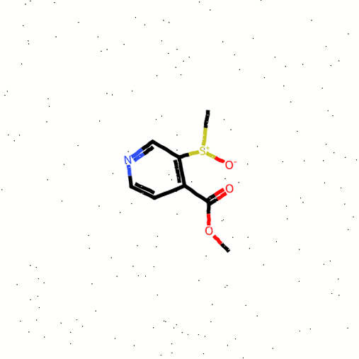 COC(=O)c1ccncc1[S+](C)[O-]